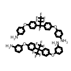 Nc1ccc(Oc2ccc(C(F)(c3ccc(Oc4ccc(N)cc4)cc3)C(F)(F)C(F)(F)F)cc2)cc1.Nc1cccc(Oc2ccc(C(c3ccc(Oc4cccc(N)c4)cc3)(C(F)(F)F)C(F)(F)F)cc2)c1